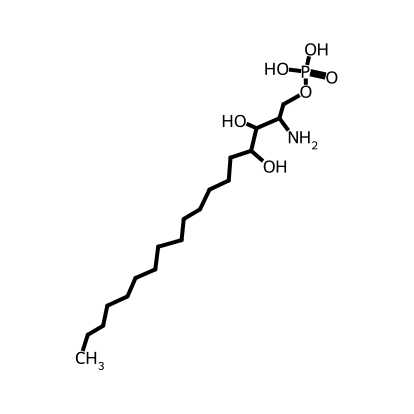 CCCCCCCCCCCCCCC(O)C(O)C(N)COP(=O)(O)O